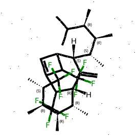 C=C1[C@@H]([C@@H](C)[C@H](C)[C@H](C)C(C)C)C2C=C(C2C(F)(F)F)C(C(F)(F)F)[C@H]1[C@H](C)[C@@H](C)[C@@H](C)[C@H](C)C(F)(F)F